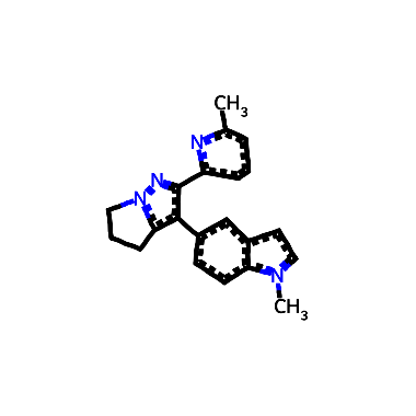 Cc1cccc(-c2nn3c(c2-c2ccc4c(ccn4C)c2)CCC3)n1